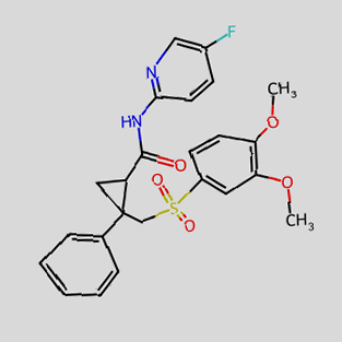 COc1ccc(S(=O)(=O)CC2(c3ccccc3)CC2C(=O)Nc2ccc(F)cn2)cc1OC